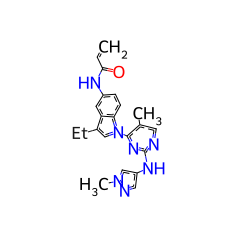 C=CC(=O)Nc1ccc2c(c1)c(CC)cn2-c1nc(Nc2cnn(C)c2)ncc1C